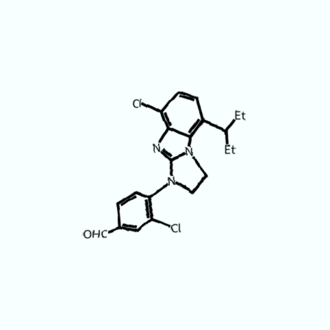 CCC(CC)c1ccc(Cl)c2nc3n(c12)CCN3c1ccc(C=O)cc1Cl